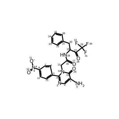 Nc1cnc(-c2ccc([N+](=O)[O-])cc2)n(CC(=O)NC(Cc2ccccc2)C(=O)C(F)(F)F)c1=O